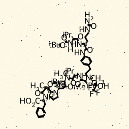 CC[C@H](C)[C@@H]([C@@H](CC(=O)N1CCC[C@H]1[C@H](OC)[C@@H](C)C(=O)N[C@@H](Cc1ccccc1)C(=O)O)OC)N(C)C(=O)[C@@H](NC(=O)[C@H](C(C)C)N(C)CCc1ccc(NC(=O)[C@H](CCCNC(N)=O)NC(=O)[C@@H](NC(=O)OC(C)(C)C)C(C)C)cc1)C(C)C.O=C(O)C(F)(F)F